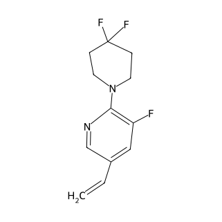 C=Cc1cnc(N2CCC(F)(F)CC2)c(F)c1